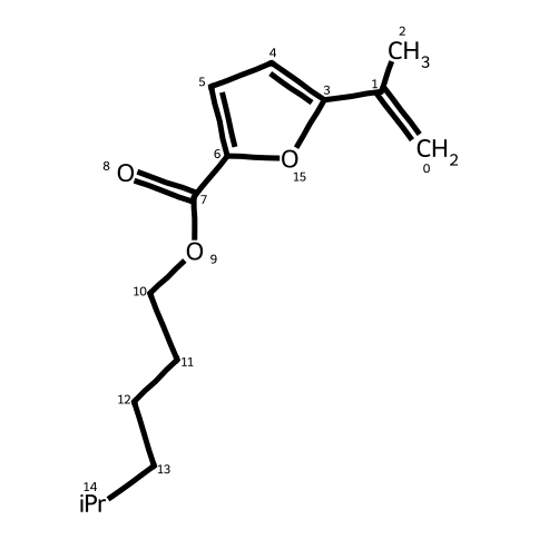 C=C(C)c1ccc(C(=O)OCCCCC(C)C)o1